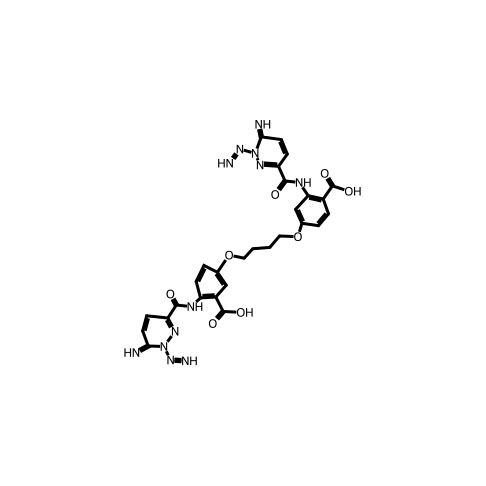 N=Nn1nc(C(=O)Nc2cc(OCCCCOc3ccc(NC(=O)c4ccc(=N)n(N=N)n4)c(C(=O)O)c3)ccc2C(=O)O)ccc1=N